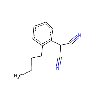 CCCCc1ccccc1C(C#N)C#N